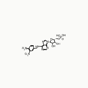 Nc1ccc(CNc2ncnc3c2ncn3[C@@H]2O[C@H](COP(=O)(O)O)[C@@H](O)[C@H]2O)cc1[N+](=O)[O-]